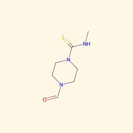 CNC(=S)N1CCN(C=O)CC1